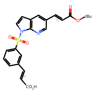 CC(C)(C)OC(=O)/C=C/c1cnc2c(ccn2S(=O)(=O)c2cccc(/C=C/C(=O)O)c2)c1